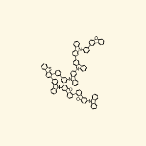 c1cc(-c2cccc(-n3c4ccccc4c4cc(-n5c6ccccc6c6cc(-c7ccc8c9ccccc9n(-c9cccc(-c%10ccc%11oc%12ccccc%12c%11c%10)c9)c8c7)ccc65)ccc43)c2)cc(-c2c(-c3ccc4c(c3)c3ccccc3n4-c3ccc4oc5c(-c6cccc7c6oc6ccc(-n8c9ccccc9c9ccccc98)cc67)cccc5c4c3)ccc3c2sc2ccccc23)c1